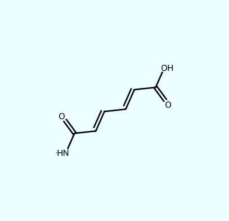 [NH]C(=O)C=CC=CC(=O)O